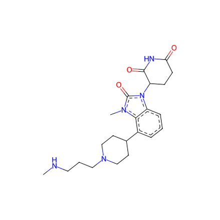 CNCCCN1CCC(c2cccc3c2n(C)c(=O)n3C2CCC(=O)NC2=O)CC1